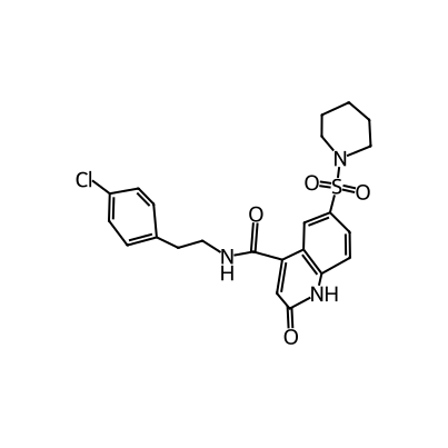 O=C(NCCc1ccc(Cl)cc1)c1cc(=O)[nH]c2ccc(S(=O)(=O)N3CCCCC3)cc12